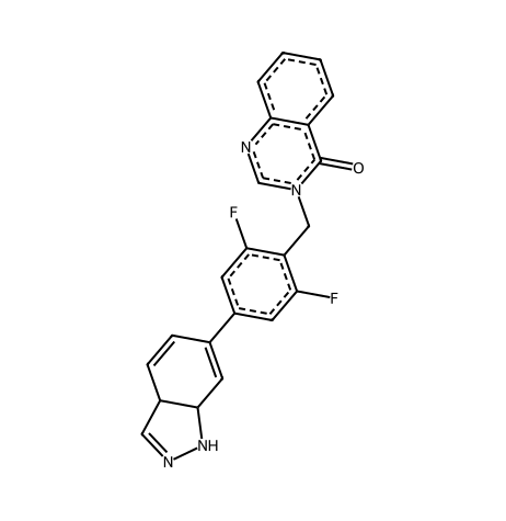 O=c1c2ccccc2ncn1Cc1c(F)cc(C2=CC3NN=CC3C=C2)cc1F